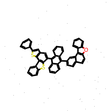 c1ccc(-c2cc3cc(-c4c5ccccc5c(-c5ccc6ccc7oc8ccccc8c7c6c5)c5ccccc45)c4sc5ccccc5c4c3s2)cc1